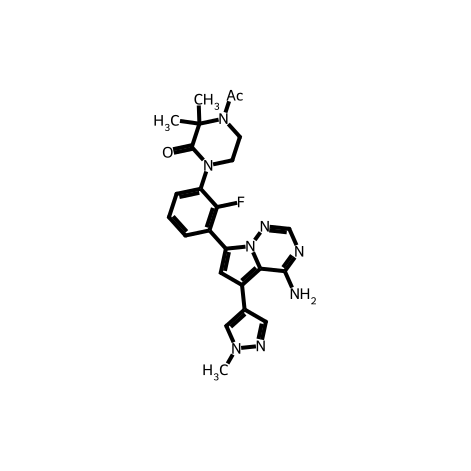 CC(=O)N1CCN(c2cccc(-c3cc(-c4cnn(C)c4)c4c(N)ncnn34)c2F)C(=O)C1(C)C